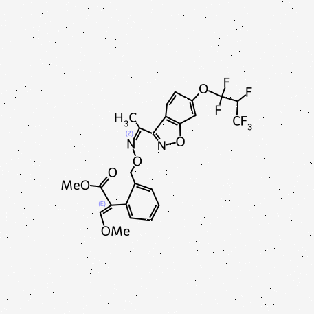 CO/C=C(/C(=O)OC)c1ccccc1CO/N=C(/C)c1noc2cc(OC(F)(F)C(F)C(F)(F)F)ccc12